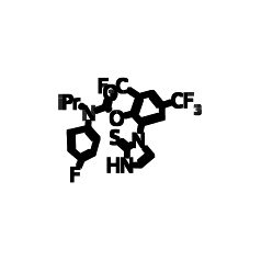 CC(C)N(C(=O)Oc1c(-n2cc[nH]c2=S)cc(C(F)(F)F)cc1C(F)(F)F)c1ccc(F)cc1